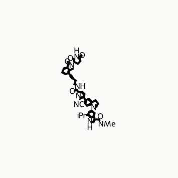 CNC(=O)c1c[nH]c2c(C(C)C)cc(N3CCCc4cc(-c5ccc(C(=O)NCCC#Cc6cccc7c6CN(C6CCC(=O)NC6=O)C7=O)nc5)c(C#N)cc43)cc12